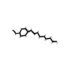 [CH2]CC1CCC(CCCCCCCCC)CC1